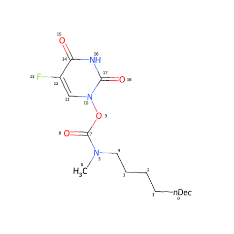 CCCCCCCCCCCCCCN(C)C(=O)On1cc(F)c(=O)[nH]c1=O